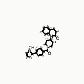 Cn1ccnc1-c1ccc(C(=O)N2CCC(N3C(=O)CCc4ccccc43)CC2)cc1